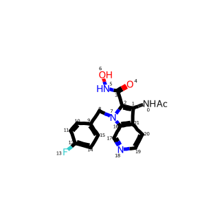 CC(=O)Nc1c(C(=O)NO)n(Cc2ccc(F)cc2)c2cnccc12